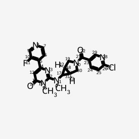 CN(c1nc(-c2ccncc2F)cc(=O)n1C)C1[C@H]2CN(C(=O)c3ccc(Cl)nc3)C[C@@H]12